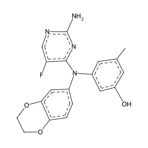 Cc1cc(O)cc(N(c2ccc3c(c2)OCCO3)c2nc(N)ncc2F)c1